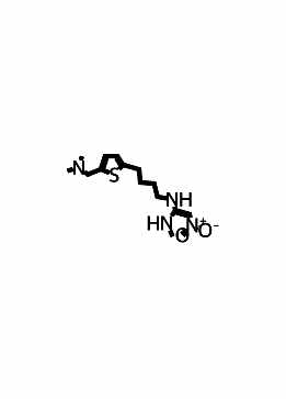 CNC(=C[N+](=O)[O-])NCCCCc1ccc(CN(C)C)s1